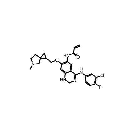 C=CC(=O)Nc1cc2c(cc1OCC1CC13CCN(C)C3)NCN=C2Nc1ccc(F)c(Cl)c1